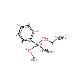 CCCCCCCCCCCO[Si](CCCCCCCCC)(OCC)c1ccccc1